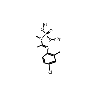 CCCSP(=O)(OCC)N(C)C(C)=Nc1ccc(Cl)cc1C